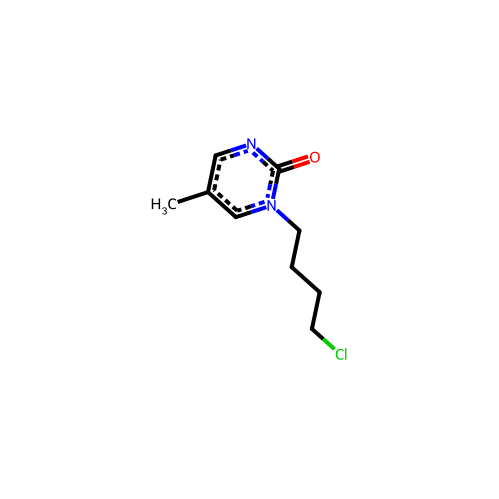 Cc1cnc(=O)n(CCCCCl)c1